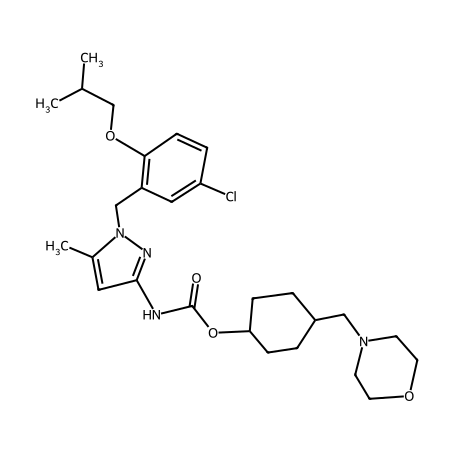 Cc1cc(NC(=O)OC2CCC(CN3CCOCC3)CC2)nn1Cc1cc(Cl)ccc1OCC(C)C